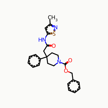 Cc1cc(NC(=O)CC2(c3ccccc3)CCN(C(=O)OCc3ccccc3)CC2)sn1